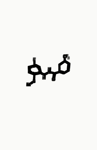 CCSc1ccc(F)cc1NNC(=O)C1=CC=CC(C(F)(F)F)C1